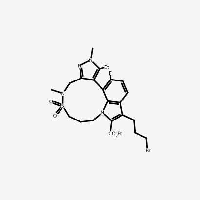 CCOC(=O)c1c(CCCBr)c2ccc(F)c3c2n1CCCS(=O)(=O)N(C)Cc1nn(C)c(CC)c1-3